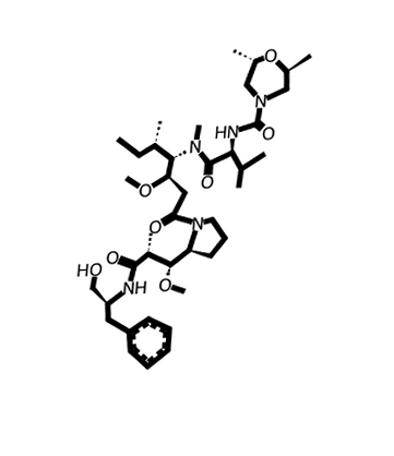 CC[C@H](C)[C@@H]([C@@H](CC(=O)N1CCC[C@H]1[C@H](OC)[C@@H](C)C(=O)N[C@H](CO)Cc1ccccc1)OC)N(C)C(=O)[C@@H](NC(=O)N1C[C@H](C)O[C@@H](C)C1)C(C)C